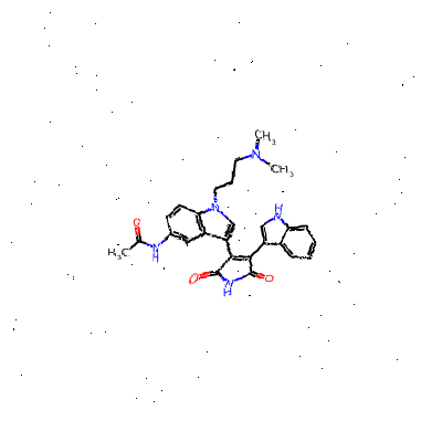 CC(=O)Nc1ccc2c(c1)c(C1=C(c3c[nH]c4ccccc34)C(=O)NC1=O)cn2CCCN(C)C